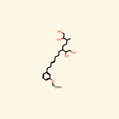 COCOc1cccc(CC/C=C/CCCC(CCC(C)C(O)CO)C(O)CO)c1